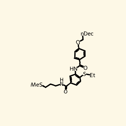 CCCCCCCCCCCOc1ccc(C(=O)Nc2cc(C(=O)NCCCSC)ccc2SCC)cc1